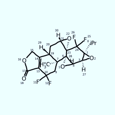 CC(C)[C@]12O[C@H]1[C@@H]1O[C@@]13[C@@]1(C)CC(F)(F)C4=C(COC4=O)[C@@H]1C[C@@H]1O[C@@]13C2(F)F